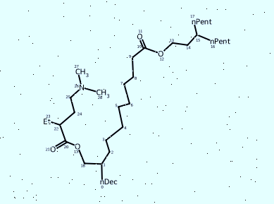 CCCCCCCCCCC(CCCCCCCCC(=O)OCCC(CCCCC)CCCCC)COC(=O)C(CC)CCN(C)C